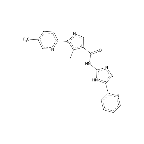 Cc1c(C(=O)Nc2nnc(-c3ccccn3)[nH]2)cnn1-c1ccc(C(F)(F)F)cn1